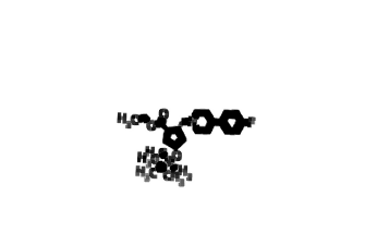 CCOC(=O)[C@@H]1C[C@@H](O[Si](C)(C)C(C)(C)C)C[C@H]1CN1CCC(c2ccc(F)cc2)CC1